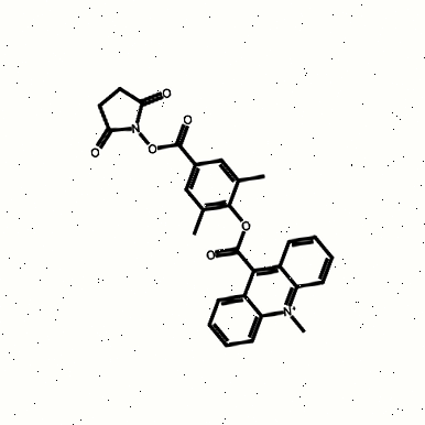 Cc1cc(C(=O)ON2C(=O)CCC2=O)cc(C)c1OC(=O)c1c2ccccc2[n+](C)c2ccccc12